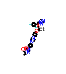 C/C=C(\[C@H](C)O)n1ncn(-c2ccc(N3CCN(c4ccc(O/C=C(/CC)CO/C(=C\n5cncn5)c5ccc(F)cc5F)cc4)CC3)cc2)c1=O